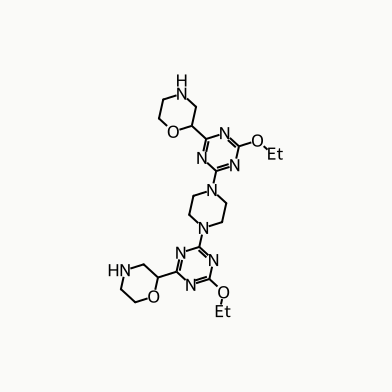 CCOc1nc(C2CNCCO2)nc(N2CCN(c3nc(OCC)nc(C4CNCCO4)n3)CC2)n1